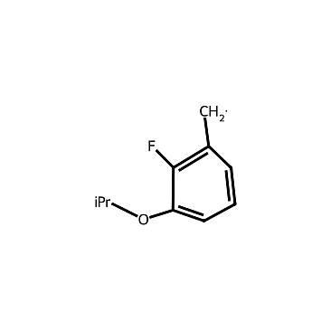 [CH2]c1cccc(OC(C)C)c1F